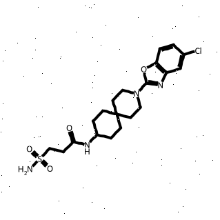 NS(=O)(=O)CCC(=O)NC1CCC2(CC1)CCN(c1nc3cc(Cl)ccc3o1)CC2